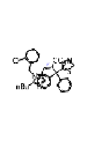 CCCCc1ncc(/C=C(/C(=O)O)C(c2ccccc2)(c2ccccc2)c2cccs2)n1Cc1ccccc1Cl